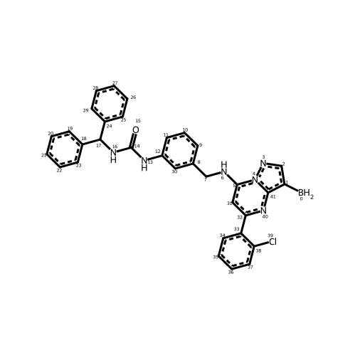 Bc1cnn2c(NCc3cccc(NC(=O)NC(c4ccccc4)c4ccccc4)c3)cc(-c3ccccc3Cl)nc12